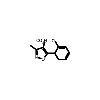 Cc1noc(C2CC=CC=C2Cl)c1C(=O)O